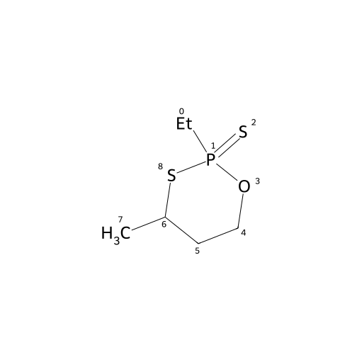 CCP1(=S)OCCC(C)S1